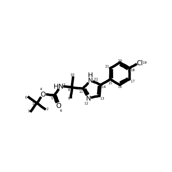 CC(C)(C)OC(=O)NC(C)(C)c1ncc(-c2ccc(Cl)cc2)[nH]1